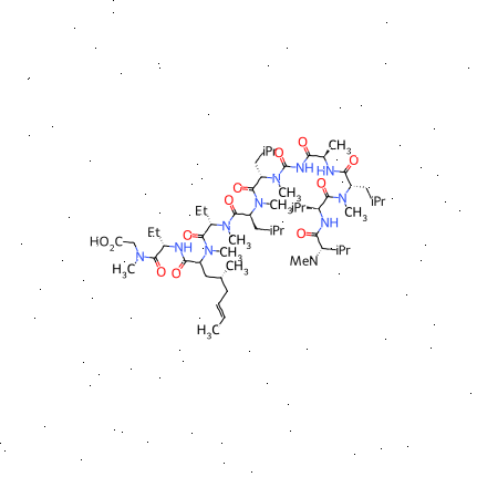 C/C=C/C[C@@H](C)CC(C(=O)N[C@@H](CC)C(=O)N(C)CC(=O)O)N(C)C(=O)[C@H](CC)N(C)C(=O)[C@H](CC(C)C)N(C)C(=O)[C@H](CC(C)C)N(C)C(=O)NC(=O)[C@@H](C)NC(=O)[C@H](CC(C)C)N(C)C(=O)[C@@H](NC(=O)[C@@H](NC)C(C)C)C(C)C